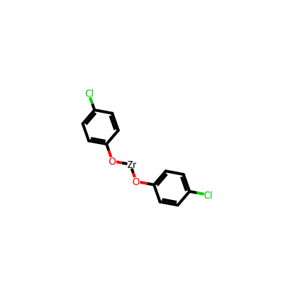 Clc1ccc([O][Zr][O]c2ccc(Cl)cc2)cc1